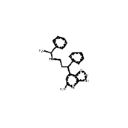 Nc1cc(C(CCNC(c2ccccc2)C(F)(F)F)c2ccccc2)c2nn[nH]c2n1